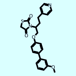 COc1cccc(-c2ccc(OCC(CCc3ccncc3)N3C(=O)CSC3=O)cc2)c1